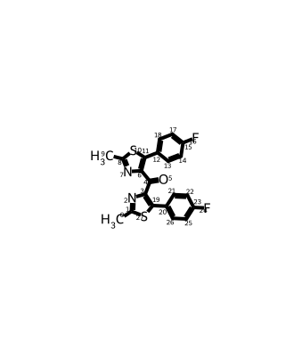 Cc1nc(C(=O)c2nc(C)sc2-c2ccc(F)cc2)c(-c2ccc(F)cc2)s1